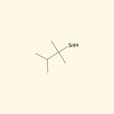 CC(C)[C](C)(C)[SnH]